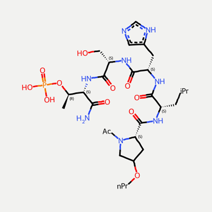 CCCOC1C[C@@H](C(=O)N[C@@H](CC(C)C)C(=O)N[C@@H](Cc2cnc[nH]2)C(=O)N[C@@H](CO)C(=O)N[C@H](C(N)=O)[C@@H](C)OP(=O)(O)O)N(C(C)=O)C1